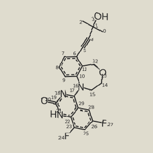 CC(C)(O)C#Cc1cccc2c1COCCN2c1nc(=O)[nH]c2c(F)cc(F)cc12